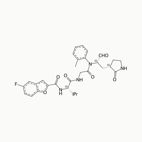 Cc1ccccc1N(C(=O)CNC(=O)[C@@H](NC(=O)c1cc2cc(F)ccc2o1)C(C)C)[C@H](C=O)C[C@@H]1CCNC1=O